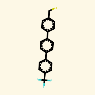 FC(F)(F)c1ccc(-c2ccc(-c3ccc(CS)cc3)cc2)cc1